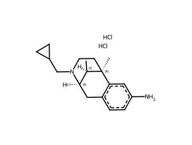 C[C@@H]1[C@H]2Cc3ccc(N)cc3[C@]1(C)CCN2CC1CC1.Cl.Cl